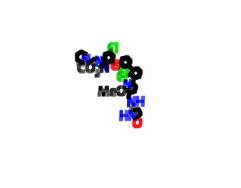 COc1nc(-c2cccc(-c3cccc(Oc4cc(Cl)cc5c4ncn5CCN4CCCC[C@@H]4C(=O)O)c3Cl)c2Cl)ccc1CNC[C@@H]1CCC(=O)N1